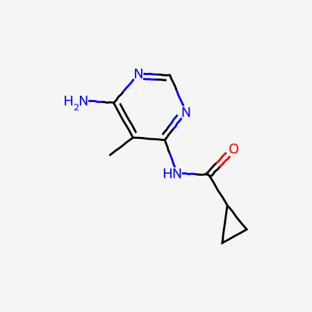 Cc1c(N)ncnc1NC(=O)C1CC1